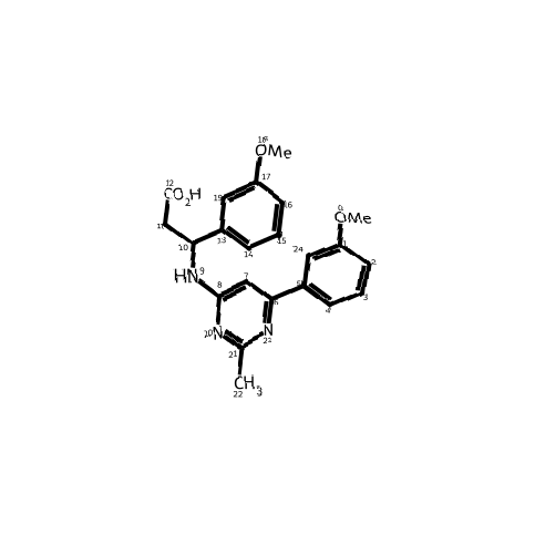 COc1cccc(-c2cc(NC(CC(=O)O)c3cccc(OC)c3)nc(C)n2)c1